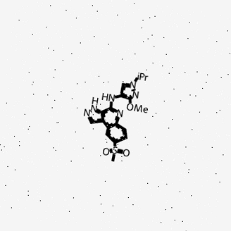 COc1nn(C(C)C)cc1Nc1nc2ccc(S(C)(=O)=O)cc2c2cn[nH]c12